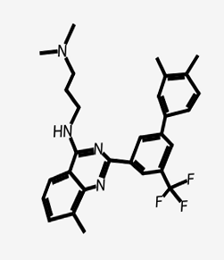 Cc1ccc(-c2cc(-c3nc(NCCCN(C)C)c4cccc(C)c4n3)cc(C(F)(F)F)c2)cc1C